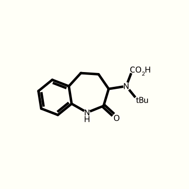 CC(C)(C)N(C(=O)O)C1CCc2ccccc2NC1=O